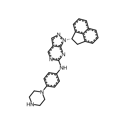 c1cc2c3c(cccc3c1)[C@@H](n1ncc3cnc(Nc4ccc(N5CCNCC5)cc4)nc31)C2